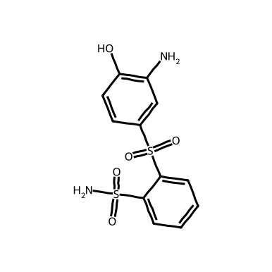 Nc1cc(S(=O)(=O)c2ccccc2S(N)(=O)=O)ccc1O